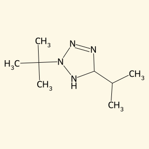 CC(C)C1N=NN(C(C)(C)C)N1